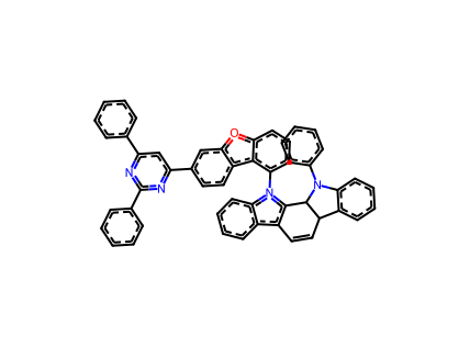 C1=CC2c3ccccc3N(c3ccccc3)C2c2c1c1ccccc1n2-c1cccc2oc3cc(-c4cc(-c5ccccc5)nc(-c5ccccc5)n4)ccc3c12